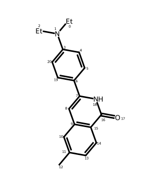 CCN(CC)c1ccc(-c2cc3cc(C)ccc3c(=O)[nH]2)cc1